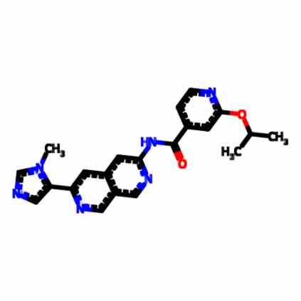 CC(C)Oc1cc(C(=O)Nc2cc3cc(-c4cncn4C)ncc3cn2)ccn1